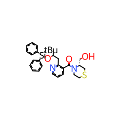 CC(Cc1ncccc1C(=O)N1CCSC[C@H]1CO)O[Si](c1ccccc1)(c1ccccc1)C(C)(C)C